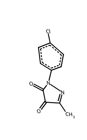 CC1=NN(c2ccc(Cl)cc2)C(=O)C1=O